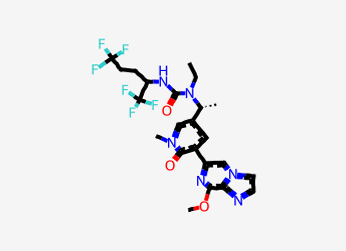 CCN(C(=O)NC(CCC(F)(F)F)C(F)(F)F)[C@H](C)c1cc(-c2cn3ccnc3c(OC)n2)c(=O)n(C)c1